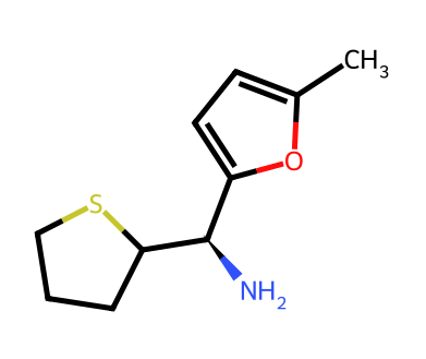 Cc1ccc([C@@H](N)C2CCCS2)o1